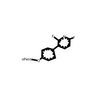 CCCCCOc1ccc(-c2ccc(F)nc2F)cc1